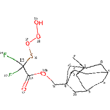 CC12CC3CC(C1)CC(COC(=O)C(F)(F)SOOO)(C3)C2